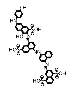 COc1ccc(Nc2ccc3c(O)c(N=Nc4ccc(N=Nc5ccc(N=Nc6cc(S(=O)(=O)O)c7cccc(S(=O)(=O)O)c7c6)c6ccccc56)c5ccc(S(=O)(=O)O)cc45)c(S(=O)(=O)O)cc3c2)cc1